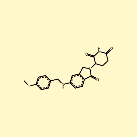 COc1ccc(CNc2ccc3c(c2)CN(C2CCC(=O)NC2=O)C3=O)cc1